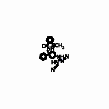 COc1ccccc1C(=O)NC[C@]1(c2ccccc2)CC[C@H](N/C(=N\C#N)NCC#N)CC1